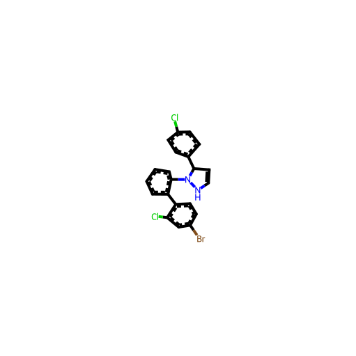 Clc1ccc(C2C=CNN2c2ccccc2-c2ccc(Br)cc2Cl)cc1